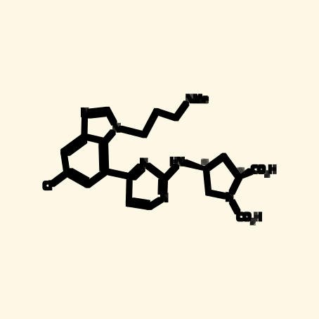 CNCCCn1cnc2cc(Cl)cc(-c3ccnc(N[C@H]4C[C@@H](C(=O)O)N(C(=O)O)C4)n3)c21